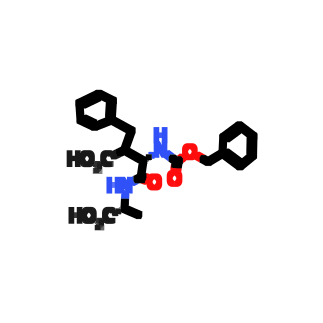 C[C@@H](NC(=O)[C@@H](NC(=O)OCc1ccccc1)C(Cc1ccccc1)C(=O)O)C(=O)O